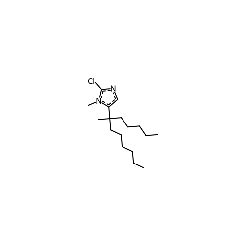 CCCCCCC(C)(CCCCC)c1cnc(Cl)n1C